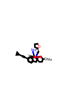 COC1CCC2(CC1)Cc1ccc(C#CC3CC3)cc1[C@@]21N=C(N)N(C[C@H]2CCCO2)C1=O